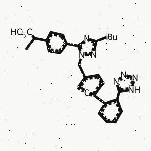 CCC(C)c1nc(-c2ccc(C(C)C(=O)O)cc2)n(Cc2ccc(-c3ccccc3-c3nnn[nH]3)cc2)n1